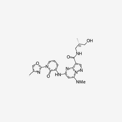 CNc1cc(Nc2cccn(-c3nc(C)co3)c2=O)nc2c(C(=O)NC[C@H](C)CO)cnn12